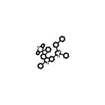 c1ccc(-c2cccc(-c3cc(-c4ccc5nc(-c6ccccc6)c6ccc7c(c6c5c4)-c4ccccc4C74c5ccccc5Sc5ccccc54)nc(-c4ccccc4)n3)c2)cc1